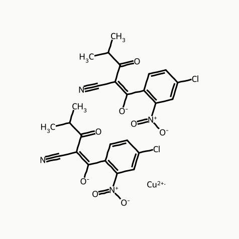 CC(C)C(=O)C(C#N)=C([O-])c1ccc(Cl)cc1[N+](=O)[O-].CC(C)C(=O)C(C#N)=C([O-])c1ccc(Cl)cc1[N+](=O)[O-].[Cu+2]